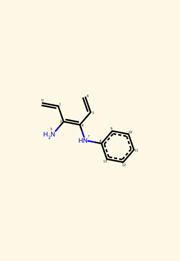 C=C/C(N)=C(\C=C)Nc1ccccc1